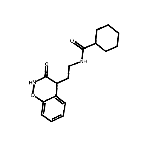 O=C(NCCC1C(=O)NOc2ccccc21)C1CCCCC1